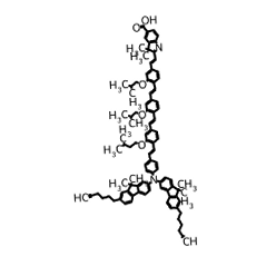 C#CCCCCc1ccc2c(c1)C(C)(C)c1ccc(N(c3ccc(/C=C/c4ccc(/C=C/c5ccc(/C=C/c6ccc(/C=C/C7=Nc8ccc(C(=O)O)cc8C7(C)C)cc6OCC(C)C)cc5OCC(C)C)cc4OCCC(C)C)cc3)c3ccc4c(c3)C(C)(C)c3cc(CCCCC#C)ccc3-4)cc1-2